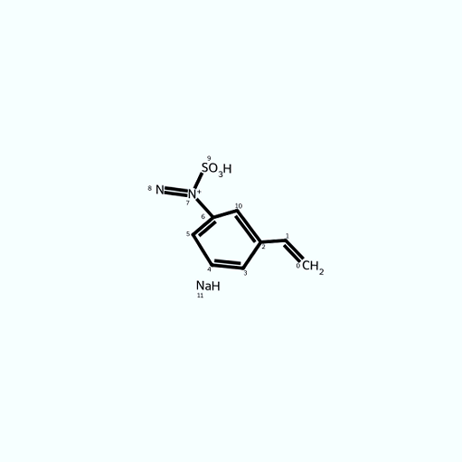 C=Cc1cccc([N+](=[N-])S(=O)(=O)O)c1.[NaH]